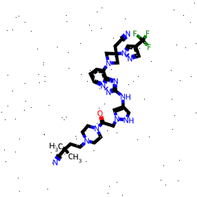 CC(C)(C#N)CCN1CCN(C(=O)CN2C=C(Nc3nc4c(N5CC(CC#N)(n6cc(C(F)(F)F)cn6)C5)cccn4n3)CN2)CC1